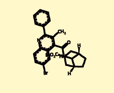 CCOC(=O)[C@@H]1C[C@H]2CC[C@@H](C1)C2NC(=O)c1c(C)c(-c2ccccc2)nc2ccc(Br)cc12